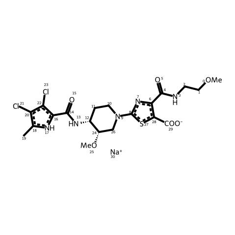 COCCNC(=O)c1nc(N2CC[C@@H](NC(=O)c3[nH]c(C)c(Cl)c3Cl)[C@@H](OC)C2)sc1C(=O)[O-].[Na+]